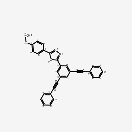 CCCCCCCCOc1ccc(-c2nnc(-c3cc(C#Cc4ccccc4)cc(C#Cc4ccccc4)c3)o2)cc1